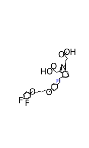 O=C(O)CCCn1cc(CC(=O)O)c2c(/C=C/c3ccc(OCCCCOc4ccc(F)c(F)c4)cc3)cccc21